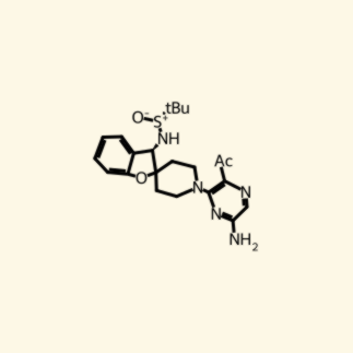 CC(=O)c1ncc(N)nc1N1CCC2(CC1)Oc1ccccc1[C@H]2N[S@+]([O-])C(C)(C)C